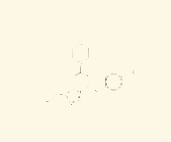 C[C@@H](CO)c1nnc([C@H](Cc2ccc(O)cc2)NC(=O)N2CCNCC2)o1